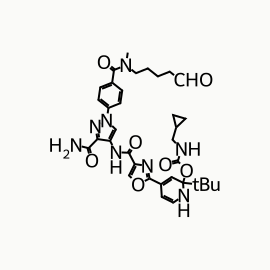 CN(CCCCC=O)C(=O)c1ccc(-n2cc(NC(=O)c3coc(C4=CC(OC(=O)NCC5CC5)(C(C)(C)C)NC=C4)n3)c(C(N)=O)n2)cc1